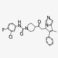 CC1=C(c2ccccc2)C(CC(=O)C2CCN(C(=O)Nc3ccc(F)c(Cl)c3)CC2)n2cncc21